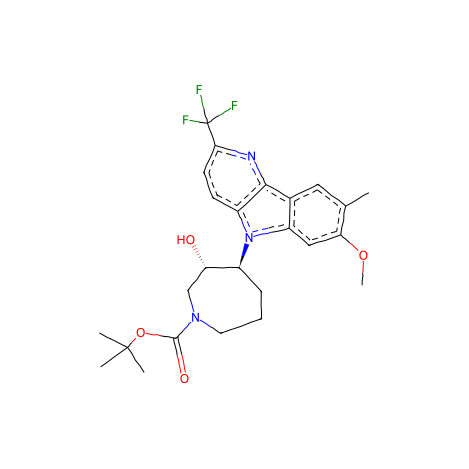 COc1cc2c(cc1C)c1nc(C(F)(F)F)ccc1n2[C@H]1CCCN(C(=O)OC(C)(C)C)C[C@@H]1O